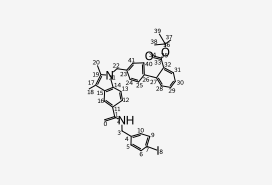 C=C(NCc1ccc(I)cc1)c1ccc2c(c1)c(C)c(C)n2Cc1ccc(-c2ccccc2C(=O)OC(C)(C)C)cc1